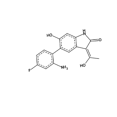 C/C(O)=C1\C(=O)Nc2cc(O)c(-c3ccc(F)cc3N)cc21